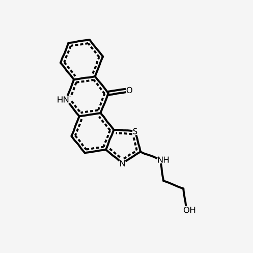 O=c1c2ccccc2[nH]c2ccc3nc(NCCO)sc3c12